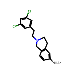 CC(=O)Nc1ccc2c(c1)CCN(CCc1cc(Cl)cc(Cl)c1)C2